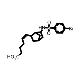 O=C(O)CCC/C=C\C1CC2CC(NS(=O)(=O)c3ccc(Br)cc3)C1C2